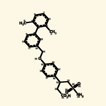 Cc1cccc(C)c1-c1cccc(COc2ccc(C(CC(=O)O)CS(N)(=O)=O)cc2)c1